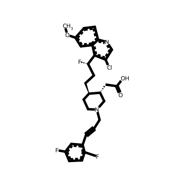 COc1ccc2ncc(Cl)c([C@@H](F)CC[C@@H]3CCN(CC#Cc4cc(F)ccc4F)C[C@H]3CC(=O)O)c2c1